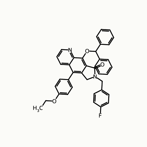 CCOc1ccc(-c2c3c(c(OC(c4ccccc4)c4ccccc4)c4ncccc24)C(=O)N(Cc2ccc(F)cc2)C3)cc1